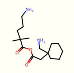 CC(C)(CCCN)C(=O)OC(=O)CC1(CN)CCCCC1